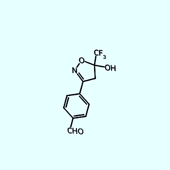 O=Cc1ccc(C2=NOC(O)(C(F)(F)F)C2)cc1